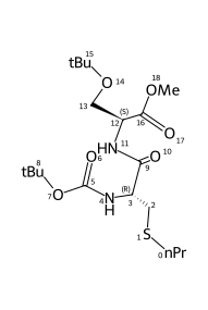 CCCSC[C@H](NC(=O)OC(C)(C)C)C(=O)N[C@@H](COC(C)(C)C)C(=O)OC